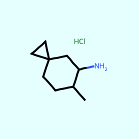 CC1CCC2(CC2)CC1N.Cl